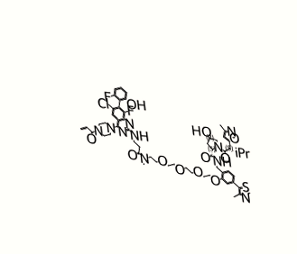 C=CC(=O)N1CCN(c2nc(NCCC(=O)N(C)CCOCCOCCOCCOc3cc(-c4scnc4C)ccc3CNC(=O)[C@@H]3C[C@@H](O)CN3C(=O)[C@H](c3cc(C)no3)C(C)C)nc3c(F)c(-c4c(O)cccc4F)c(Cl)cc23)CC1